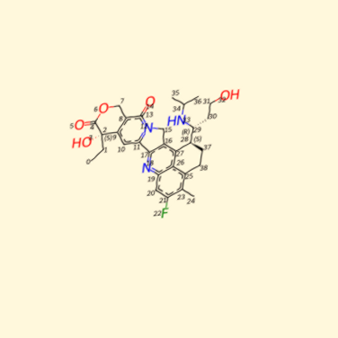 CC[C@@]1(O)C(=O)OCc2c1cc1n(c2=O)Cc2c-1nc1cc(F)c(C)c3c1c2[C@@H]([C@@H](CCO)NC(C)C)CC3